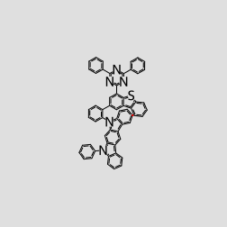 c1ccc(-c2nc(-c3ccccc3)nc(-c3cc(-c4ccccc4-n4c5ccccc5c5cc6c7ccccc7n(-c7ccccc7)c6cc54)cc4c3sc3ccccc34)n2)cc1